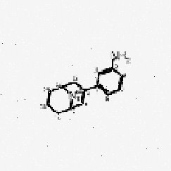 CN1C2C=C(c3cccc(N)c3)CC1CCC2